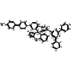 N#Cc1ccc(-c2ccc(-c3ccc4c(c3)C3(c5ccccc5Sc5ccccc53)c3cc(-c5cc(-c6ccccc6)nc(-c6ccccc6)n5)ccc3-4)cc2)cc1